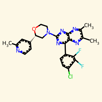 Cc1cc([C@H]2CN(c3nc(-c4ccc(Cl)c(F)c4F)c4nc(C)c(C)nc4n3)CCO2)ccn1